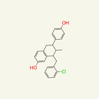 CC1C(c2ccc(O)cc2)Cc2ccc(O)cc2C1Cc1ccccc1Cl